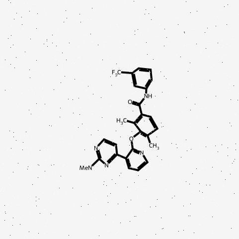 CNc1nccc(-c2cccnc2Oc2c(C)ccc(C(=O)Nc3cccc(C(F)(F)F)c3)c2C)n1